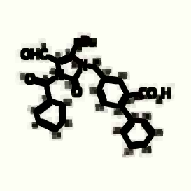 CCCCc1c(C=O)n(C(=O)c2ccccc2)c(=O)n1Cc1ccc(-c2ccccc2)c(C(=O)O)c1